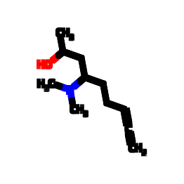 C=C=CCCC(CC(C)O)N(C)C